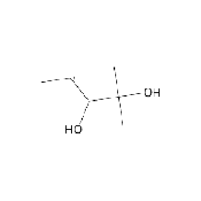 C[CH]C(O)C(C)(C)O